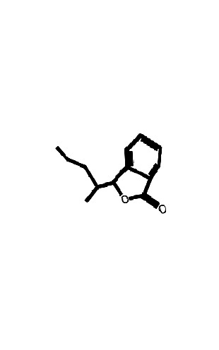 CCCC(C)C1OC(=O)c2ccccc21